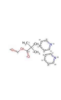 CC(C)(C)C(=O)OC=O.c1ccncc1.c1ccncc1